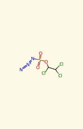 [N-]=[N+]=NS(=O)(=O)OC(Cl)C(Cl)Cl